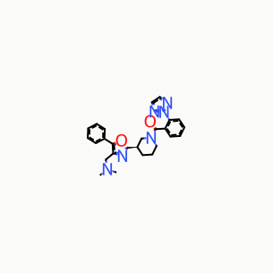 CN(C)Cc1nc([C@@H]2CCCN(C(=O)c3ccccc3-n3nccn3)C2)oc1-c1ccccc1